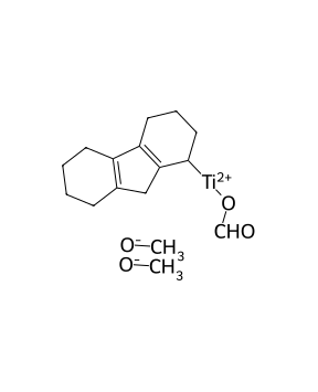 C[O-].C[O-].O=C[O][Ti+2][CH]1CCCC2=C1CC1=C2CCCC1